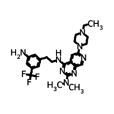 CCN1CCN(c2cc3c(NCCc4cc(N)cc(C(F)(F)F)c4)nc(N(C)C)nc3cn2)CC1